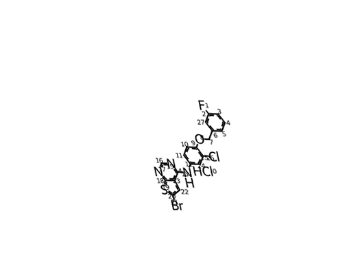 Cl.Fc1cccc(COc2ccc(Nc3ncnc4sc(Br)cc34)cc2Cl)c1